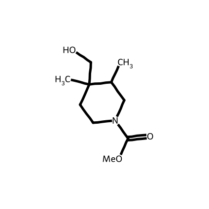 COC(=O)N1CCC(C)(CO)C(C)C1